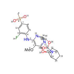 COc1c(Nc2ccc(S(C)(=O)=O)cc2F)ncnc1O[C@H]1CC2CCC1N2C(=O)OC(C)(C)C